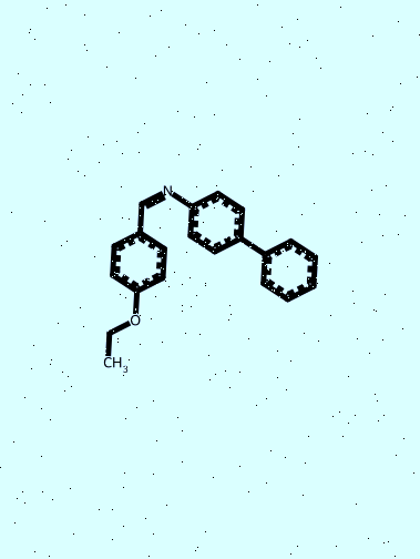 CCOc1ccc(/C=N\c2ccc(-c3ccccc3)cc2)cc1